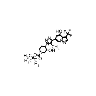 Cc1c(-c2cc(O)c3c(C(F)(F)F)cnn3c2)nnn1[C@@H]1CCN(C(=O)OC(C)(C)C)C[C@@H]1O